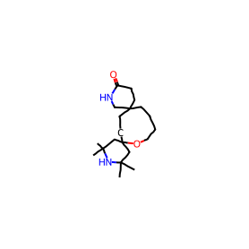 CC1(C)CC2(CCC3(CCCCO2)CCC(=O)NC3)CC(C)(C)N1